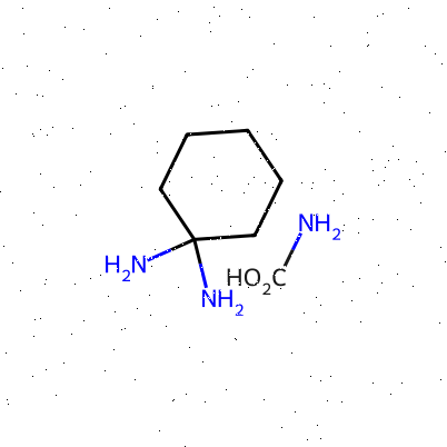 NC(=O)O.NC1(N)CCCCC1